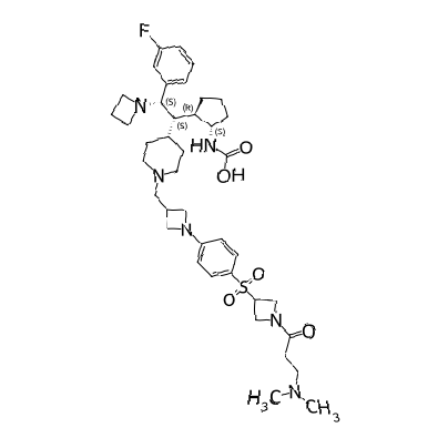 CN(C)CCC(=O)N1CC(S(=O)(=O)c2ccc(N3CC(CN4CCC([C@@H]([C@H]5CCC[C@@H]5NC(=O)O)[C@@H](c5cccc(F)c5)N5CCC5)CC4)C3)cc2)C1